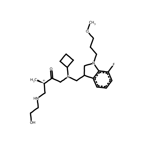 COCCCN1CC(CN(CC(=O)[C@H](C)CNCCO)C2CCC2)c2cccc(F)c21